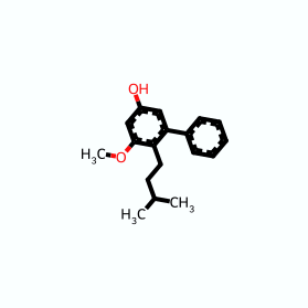 COc1cc(O)cc(-c2ccccc2)c1CCC(C)C